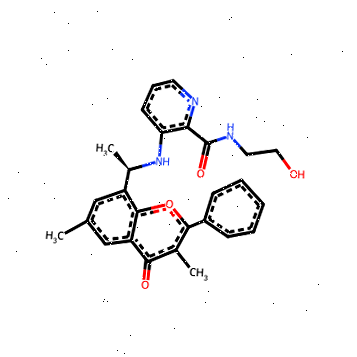 Cc1cc([C@@H](C)Nc2cccnc2C(=O)NCCO)c2oc(-c3ccccc3)c(C)c(=O)c2c1